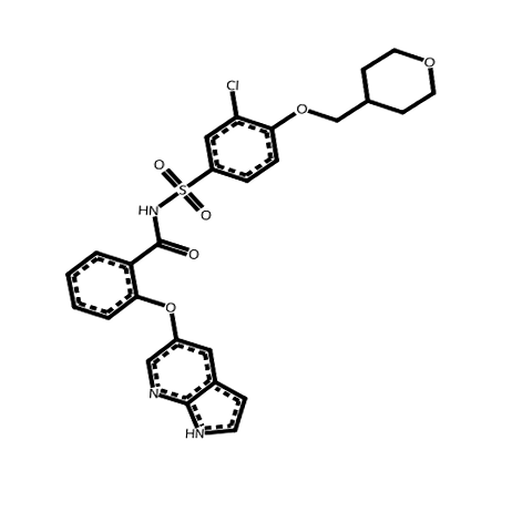 O=C(NS(=O)(=O)c1ccc(OCC2CCOCC2)c(Cl)c1)c1ccccc1Oc1cnc2[nH]ccc2c1